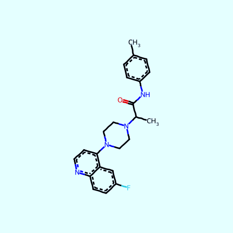 Cc1ccc(NC(=O)C(C)N2CCN(c3ccnc4ccc(F)cc34)CC2)cc1